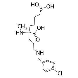 CNC(CCCCB(O)O)(CCCNCc1ccc(Cl)cc1)C(=O)O